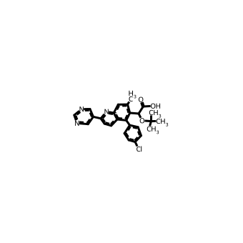 Cc1cc2nc(-c3cncnc3)ccc2c(-c2ccc(Cl)cc2)c1C(OC(C)(C)C)C(=O)O